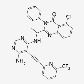 CC(Nc1ncnc(N)c1C#Cc1cccc(C(F)(F)F)n1)c1nc2cccc(Cl)c2c(=O)n1-c1ccccc1